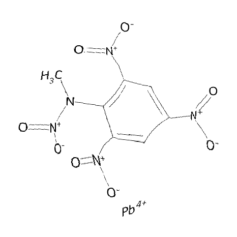 CN(c1c([N+](=O)[O-])cc([N+](=O)[O-])cc1[N+](=O)[O-])[N+](=O)[O-].[Pb+4]